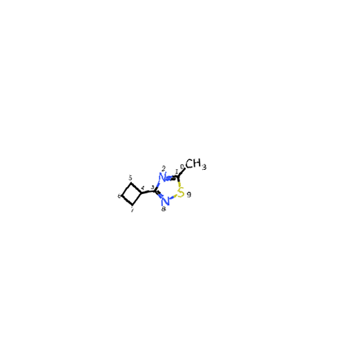 Cc1nc(C2CCC2)ns1